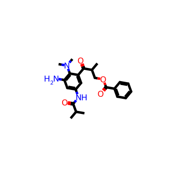 CC(C)C(=O)Nc1cc(N)c(N(C)C)c(C(=O)C(C)COC(=O)c2ccccc2)c1